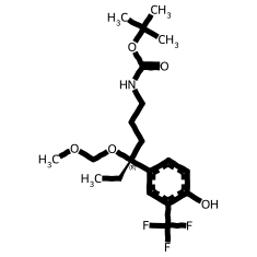 CC[C@](CCCNC(=O)OC(C)(C)C)(OCOC)c1ccc(O)c(C(F)(F)F)c1